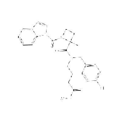 COC(=O)CCCN(Cc1ccc(Cl)cc1)C(=O)C1(C)CCN1C(=O)n1ccc2ccccc21